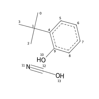 CC(C)(C)c1ccccc1O.N#CO